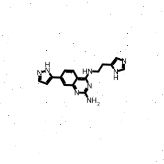 Nc1nc(NCCc2cnc[nH]2)c2ccc(-c3ccn[nH]3)cc2n1